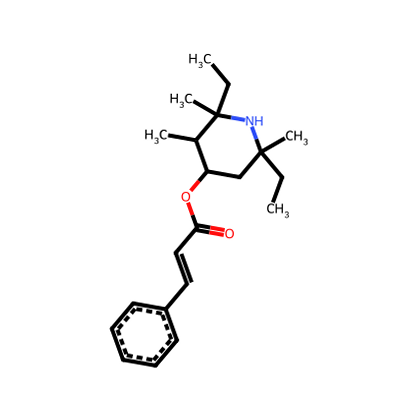 CCC1(C)CC(OC(=O)/C=C/c2ccccc2)C(C)C(C)(CC)N1